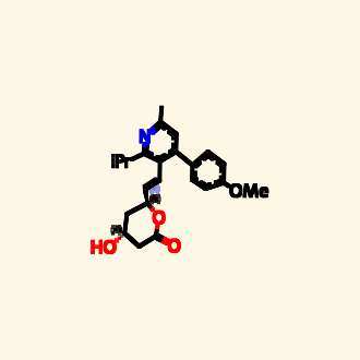 COc1ccc(-c2cc(C)nc(C(C)C)c2/C=C/[C@@H]2C[C@@H](O)CC(=O)O2)cc1